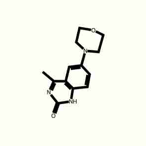 Cc1nc(=O)[nH]c2ccc(N3CCOCC3)cc12